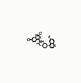 CC(C[C@H]1CC[C@@H](c2ccnc3ccc(F)cc32)CC1)Nc1nc(Cl)nc2cc(Cl)ccc12